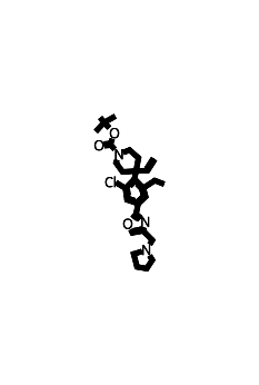 C=CC1(c2c(Cl)cc(-c3nc(CN4CCCC4)co3)cc2CC)CCN(C(=O)OC(C)(C)C)CC1